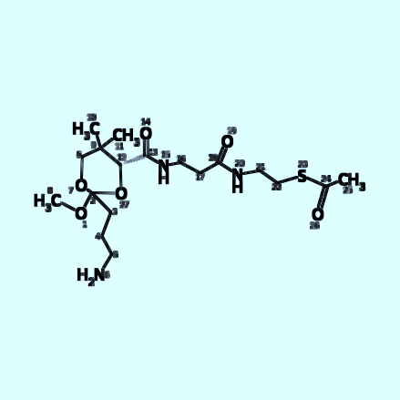 COC1(CCCN)OCC(C)(C)[C@H](C(=O)NCCC(=O)NCCSC(C)=O)O1